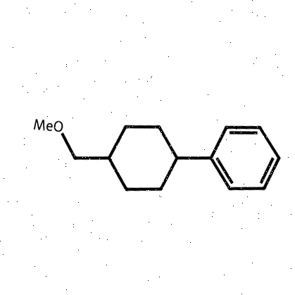 COCC1CCC(c2ccccc2)CC1